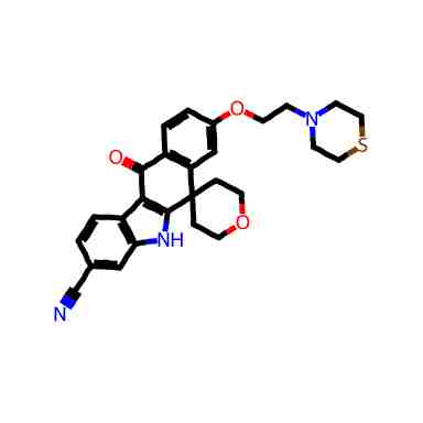 N#Cc1ccc2c3c([nH]c2c1)C1(CCOCC1)c1cc(OCCN2CCSCC2)ccc1C3=O